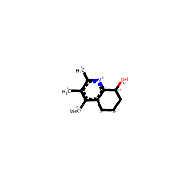 COc1c(C)c(C)nc2c1CCCC2O